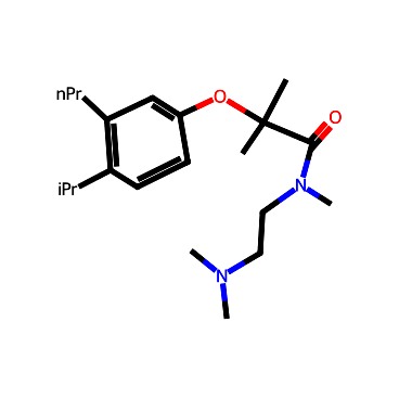 CCCc1cc(OC(C)(C)C(=O)N(C)CCN(C)C)ccc1C(C)C